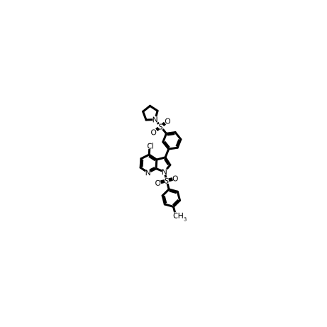 Cc1ccc(S(=O)(=O)n2cc(-c3cccc(S(=O)(=O)N4CCCC4)c3)c3c(Cl)ccnc32)cc1